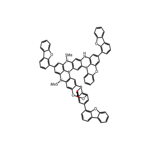 CSN1c2cc3c(cc2B2c4cc5c(cc4N(SC)c4cc(-c6cccc7c6oc6ccccc67)cc1c42)Oc1cc(-c2cccc4c2oc2ccccc24)cc2c1B5c1ccccc1O2)B1c2ccccc2Oc2cc(-c4cccc5c4oc4ccccc45)cc(c21)N3